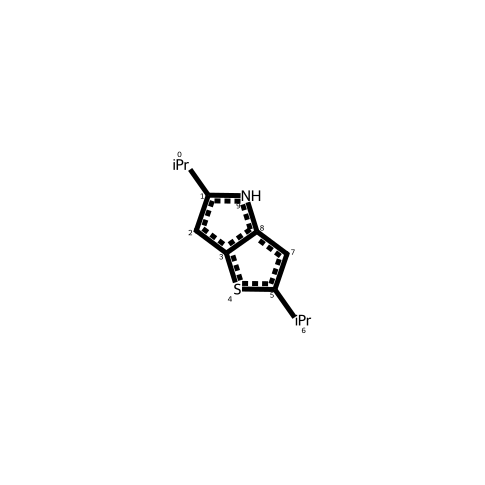 CC(C)c1cc2sc(C(C)C)cc2[nH]1